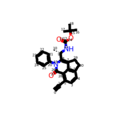 C#Cc1ccc2c3c(c([C@H](C)NC(=O)OC(C)(C)C)n(-c4ccccc4)c(=O)c13)CC2